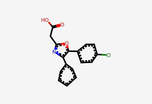 O=C(O)Cc1nc(-c2ccccc2)c(-c2ccc(Cl)cc2)o1